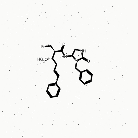 CC(C)C[C@@H](C(=O)NC1CNC(=O)N1Cc1ccccc1)[C@H](CC=Cc1ccccc1)C(=O)O